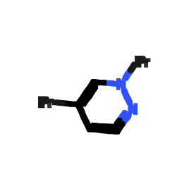 CC(C)C1=CN(C(C)C)N=C=C1